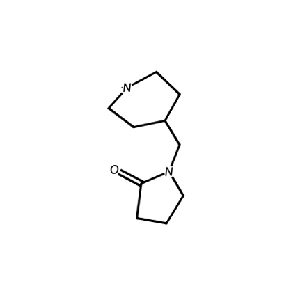 O=C1CCCN1CC1CC[N]CC1